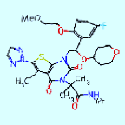 COCCOc1ccc(F)cc1C(Cn1c(=O)n(C(C)(C)C(=O)NC(C)C)c(=O)c2c(C)c(-n3nccn3)sc21)OC1CCOCC1